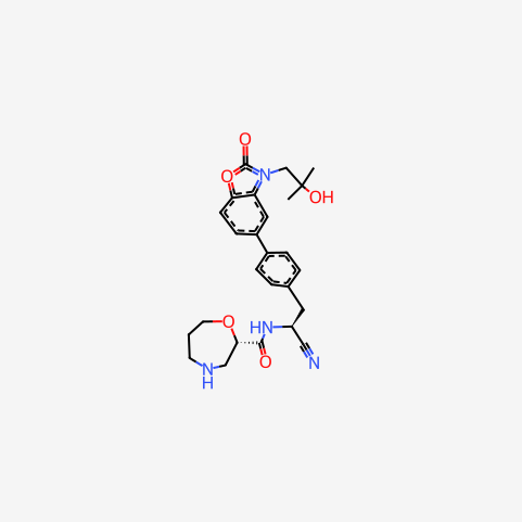 CC(C)(O)Cn1c(=O)oc2ccc(-c3ccc(C[C@@H](C#N)NC(=O)[C@@H]4CNCCCO4)cc3)cc21